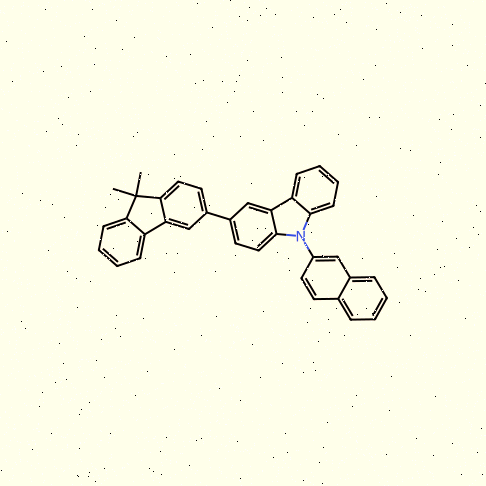 CC1(C)c2ccccc2-c2cc(-c3ccc4c(c3)c3ccccc3n4-c3ccc4ccccc4c3)ccc21